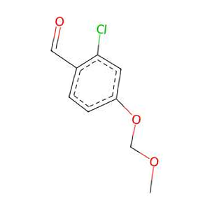 COCOc1ccc(C=O)c(Cl)c1